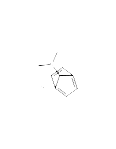 CN(C)C1C2=CC=C1C=C2.N